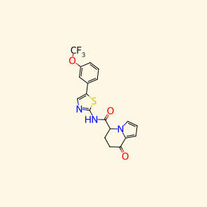 O=C1CCC(C(=O)Nc2ncc(-c3cccc(OC(F)(F)F)c3)s2)n2cccc21